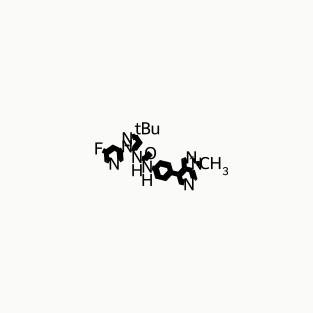 Cn1ncc2c(-c3ccc(NC(=O)Nc4cc(C(C)(C)C)nn4-c4cncc(F)c4)cc3)cncc21